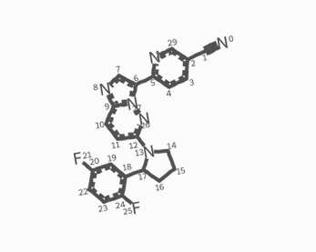 N#Cc1ccc(-c2cnc3ccc(N4CCCC4c4cc(F)ccc4F)nn23)nc1